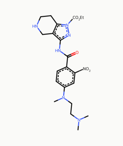 CCOC(=O)n1nc(NC(=O)c2ccc(N(C)CCN(C)C)cc2[N+](=O)[O-])c2c1CCNC2